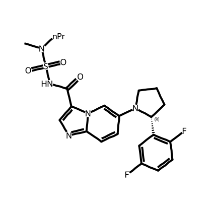 CCCN(C)S(=O)(=O)NC(=O)c1cnc2ccc(N3CCC[C@@H]3c3cc(F)ccc3F)cn12